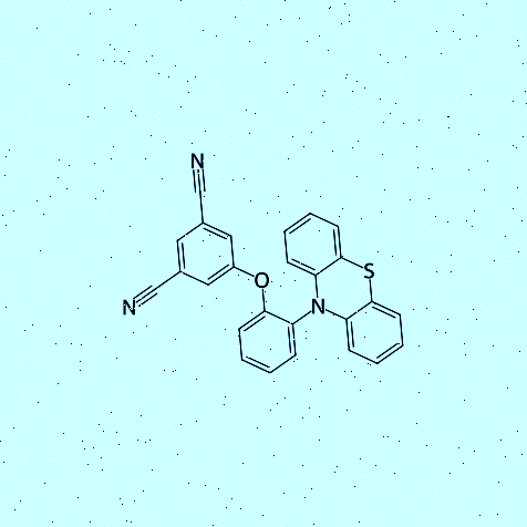 N#Cc1cc(C#N)cc(Oc2ccccc2N2c3ccccc3Sc3ccccc32)c1